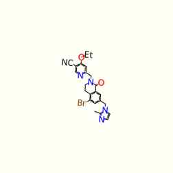 CCOc1cc(CN2CCc3c(Br)cc(Cn4ccnc4C)cc3C2=O)ncc1C#N